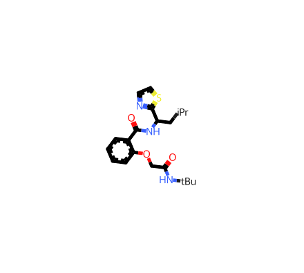 CC(C)CC(NC(=O)c1ccccc1OCC(=O)NC(C)(C)C)c1nccs1